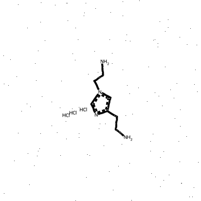 Cl.Cl.Cl.NCCc1cn(CCN)cn1